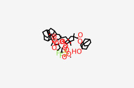 CCC1(OC(=O)C(C)(CC2C3CCC(C3)C2C)CC(C)(CC(C)(CC(C)(C)C(=O)OCC(F)(F)S(=O)(=O)OC)C(=O)OC23CC4CC(CC(O)(C4)C2)C3)C(=O)OC2CCOC2=O)C2CC3CC(C2)CC1C3